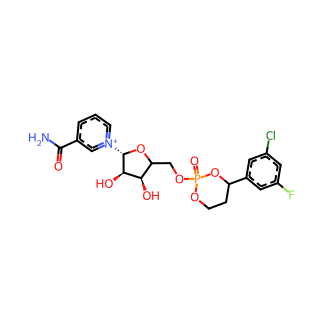 NC(=O)c1ccc[n+]([C@@H]2OC(COP3(=O)OCCC(c4cc(F)cc(Cl)c4)O3)[C@@H](O)[C@H]2O)c1